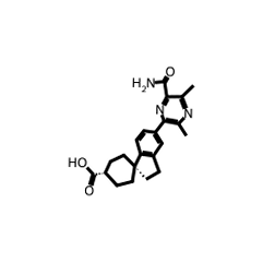 Cc1nc(C)c(-c2ccc3c(c2)CC[C@]32CC[C@@H](C(=O)O)CC2)nc1C(N)=O